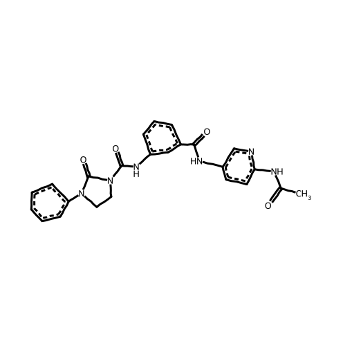 CC(=O)Nc1ccc(NC(=O)c2cccc(NC(=O)N3CCN(c4ccccc4)C3=O)c2)cn1